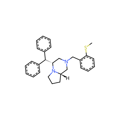 CSc1ccccc1CN1C[C@@H]2CCCN2[C@H](C(c2ccccc2)c2ccccc2)C1